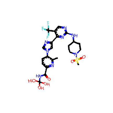 Cc1nc(C(=O)NC(O)(O)O)ccc1-n1cnc(-c2nc(NC3CCN(S(C)(=O)=O)CC3)ncc2C(F)(F)F)c1